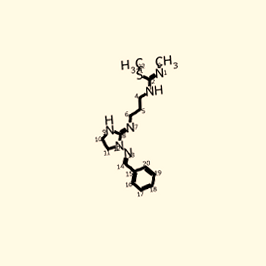 CN=C(NCCCN=C1NCCN1N=Cc1ccccc1)SC